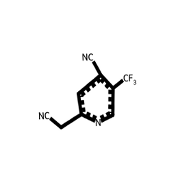 N#CCc1cc(C#N)c(C(F)(F)F)cn1